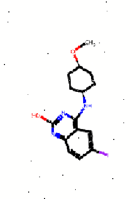 CO[C@H]1CC[C@@H](Nc2nc(O)nc3ccc(I)cc23)CC1